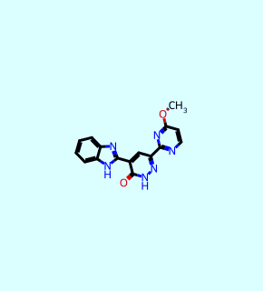 COc1ccnc(-c2cc(-c3nc4ccccc4[nH]3)c(=O)[nH]n2)n1